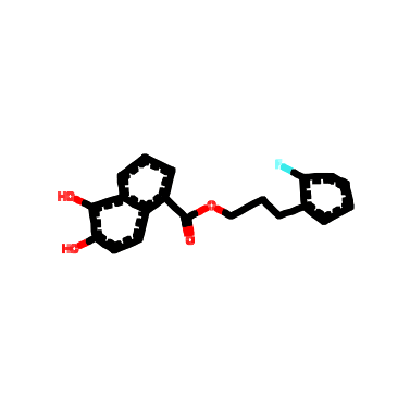 O=C(OCCCc1ccccc1F)c1cccc2c(O)c(O)ccc12